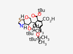 CC(C)(C)OC(=O)c1c(C(=O)O)cc(CO[Si](C)(C)C(C)(C)C)cc1[C@@H]1CO[C@@H]2SC=N[C@@H]2[C@@H]1O[Si](C)(C)C(C)(C)C